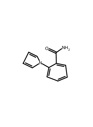 NC(=O)c1ccccc1-n1cccc1